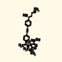 C=C(c1ccc(C#Cc2ccc([C@H](O)CCOC)cc2)cc1)N(C)[C@@](C)(C(=O)NC)C(=O)NO